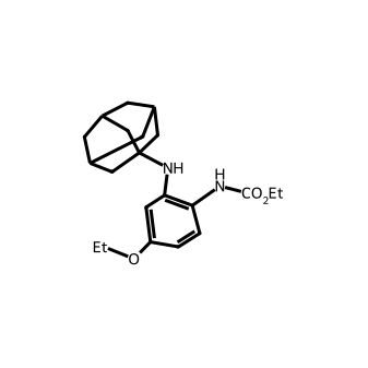 CCOC(=O)Nc1ccc(OCC)cc1NC12CC3CC(CC(C3)C1)C2